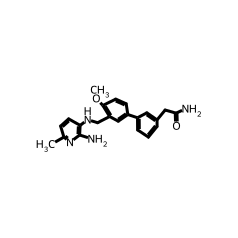 COc1ccc(-c2cccc(CC(N)=O)c2)cc1CNc1ccc(C)nc1N